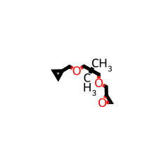 CC(C)(COCC1CC1)COCC1CO1